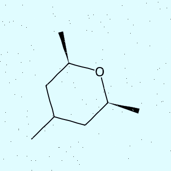 CC1C[C@@H](C)O[C@@H](C)C1